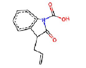 C=CCC1C(=O)N(C(=O)O)c2ccccc21